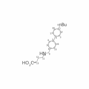 CCCCc1ccc(-c2ccc(CNCCCC(=O)O)cc2)cc1